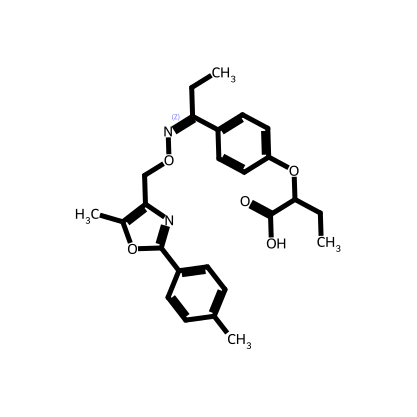 CC/C(=N/OCc1nc(-c2ccc(C)cc2)oc1C)c1ccc(OC(CC)C(=O)O)cc1